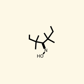 CCC(C)(C)C(=NO)C(C)(C)CC